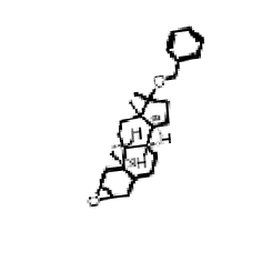 CC1(OCc2ccccc2)CC[C@H]2[C@@H]3CCC4CC5OC5C[C@]4(C)[C@@H]3CC[C@@]21C